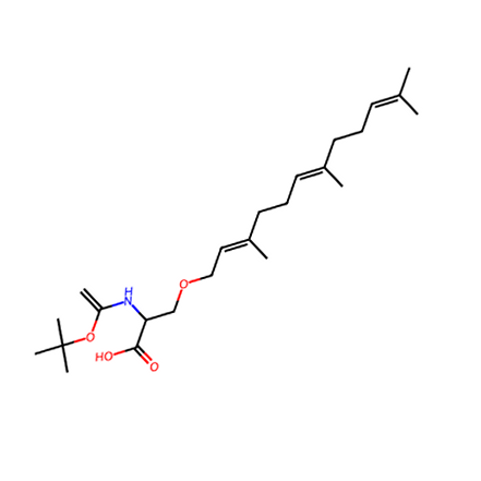 C=C(NC(COC/C=C(\C)CC/C=C(\C)CCC=C(C)C)C(=O)O)OC(C)(C)C